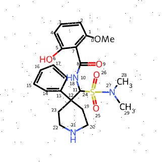 COc1cccc(O)c1C(=O)NC(C1(c2ccccc2)CCNCC1)S(=O)(=O)N(C)C